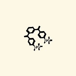 C=C(c1ccc(N(C)[Si](C)(C)C)cc1)c1cccc(C(=C)c2ccc(N(C)[Si](C)(C)C)cc2)c1